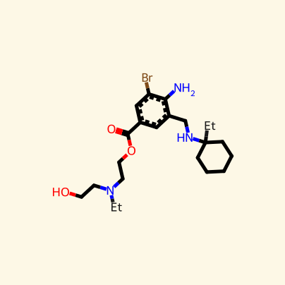 CCN(CCO)CCOC(=O)c1cc(Br)c(N)c(CNC2(CC)CCCCC2)c1